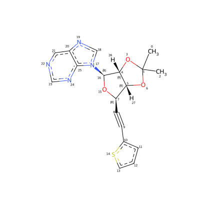 CC1(C)O[C@@H]2[C@H](O1)[C@@H](C#Cc1cccs1)O[C@H]2n1cnc2[c]ncnc21